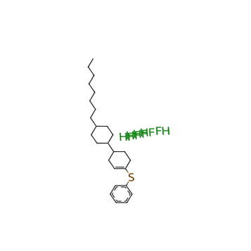 CCCCCCCCC1CCC(C2CC=C(Sc3ccccc3)CC2)CC1.F.F.F.F.F